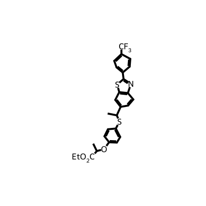 CCOC(=O)C(C)Oc1ccc(SC(C)c2ccc3nc(-c4ccc(C(F)(F)F)cc4)sc3c2)cc1